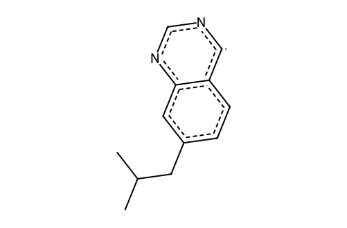 CC(C)Cc1ccc2[c]ncnc2c1